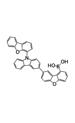 OB(O)c1cccc2oc3ccc(-c4ccc5c(c4)c4ccccc4n5-c4cccc5c4oc4ccccc45)cc3c12